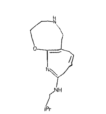 CC(C)CNc1ccc2c(n1)OCCNC2